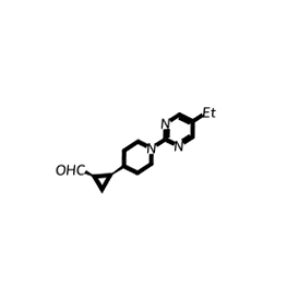 CCc1cnc(N2CCC([C@H]3C[C@H]3C=O)CC2)nc1